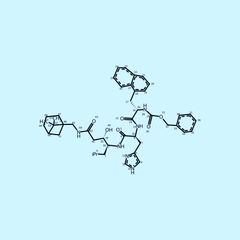 CC(C)C[C@H](NC(=O)[C@H](Cc1c[nH]cn1)NC(=O)[C@H](Cc1cccc2ccccc12)NC(=O)OCc1ccccc1)[C@@H](O)CC(=O)NCC12CCCC(C1)C2(C)C